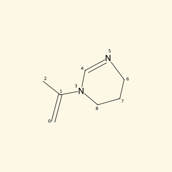 C=C(C)N1C=NCCC1